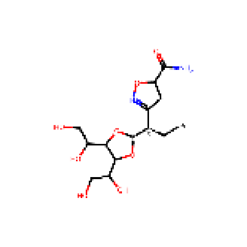 CC(C)C[C@@H](B1OC(C(O)CO)C(C(O)CO)O1)C1=NOC(C(N)=O)C1